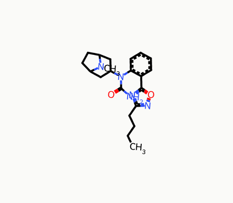 CCCCc1noc(-c2ccccc2N(C(N)=O)C2CC3CCC(C2)N3C)n1